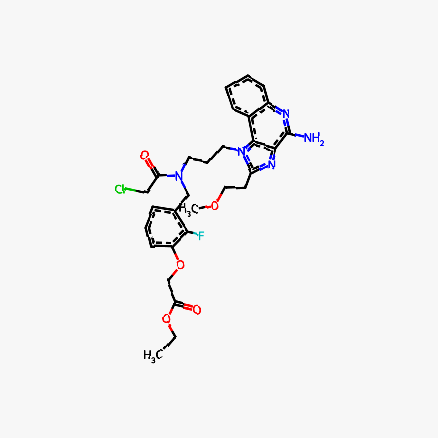 CCOC(=O)COc1cccc(CN(CCCn2c(CCOC)nc3c(N)nc4ccccc4c32)C(=O)CCl)c1F